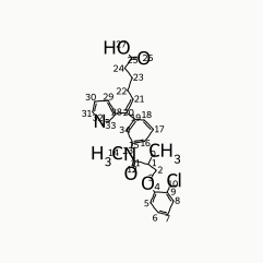 CC(COc1ccccc1Cl)C(=O)N(C)c1cccc(C(=CCCCC(=O)O)c2cccnc2)c1